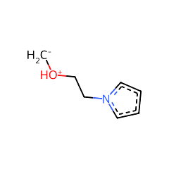 [CH2-][OH+]CCn1cccc1